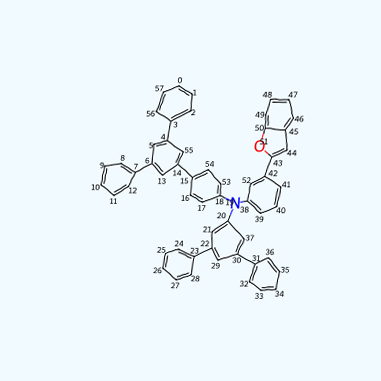 c1ccc(-c2cc(-c3ccccc3)cc(-c3ccc(N(c4cc(-c5ccccc5)cc(-c5ccccc5)c4)c4cccc(-c5cc6ccccc6o5)c4)cc3)c2)cc1